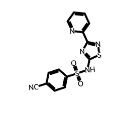 N#Cc1ccc(S(=O)(=O)Nc2nc(-c3ccccn3)ns2)cc1